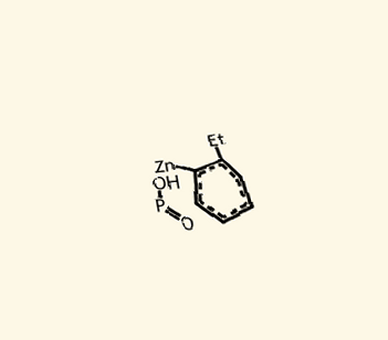 CCc1cccc[c]1[Zn].O=PO